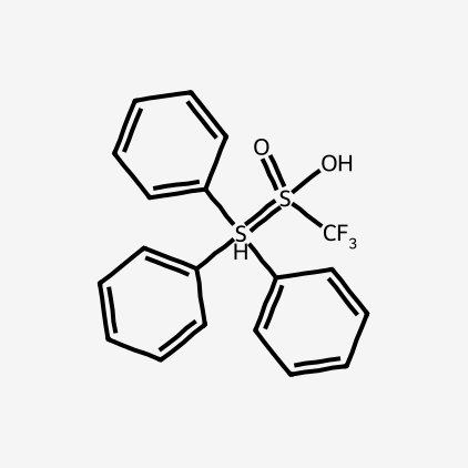 O=S(O)(C(F)(F)F)=[SH](c1ccccc1)(c1ccccc1)c1ccccc1